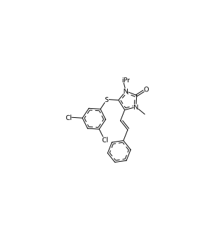 CC(C)n1c(Sc2cc(Cl)cc(Cl)c2)c(C=Cc2ccccc2)n(C)c1=O